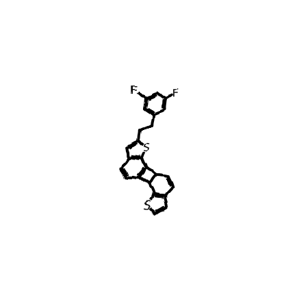 Fc1cc(F)cc(CCc2cc3ccc4c(c3s2)C2C=Cc3ccsc3C42)c1